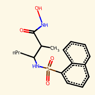 CCCC(NS(=O)(=O)c1cccc2ccccc12)C(C)C(=O)NO